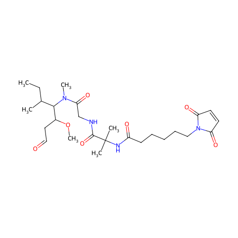 CCC(C)C(C(CC=O)OC)N(C)C(=O)CNC(=O)C(C)(C)NC(=O)CCCCCN1C(=O)C=CC1=O